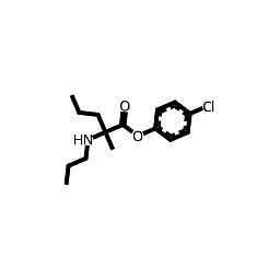 CCCNC(C)(CCC)C(=O)Oc1ccc(Cl)cc1